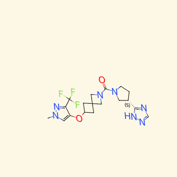 Cn1cc(OC2CC3(C2)CN(C(=O)N2CC[C@H](c4ncn[nH]4)C2)C3)c(C(F)(F)F)n1